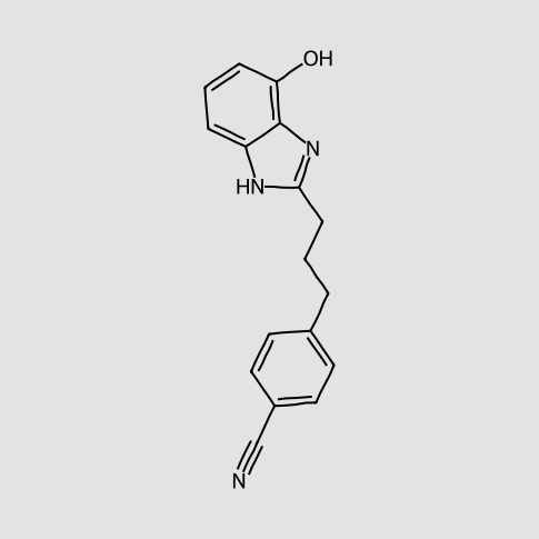 N#Cc1ccc(CCCc2nc3c(O)cccc3[nH]2)cc1